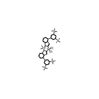 CC[Si]1(CC)C2=Cc3c(-c4cc([Si](C)(C)C)cc([Si](C)(C)C)c4)cccc3[CH]2[Hf]([CH3])([CH3])[CH]2C1=Cc1c(-c3cc([Si](C)(C)C)cc([Si](C)(C)C)c3)cccc12